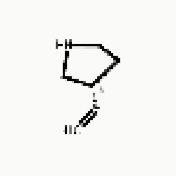 [CH]=C[C@H]1CCNC1